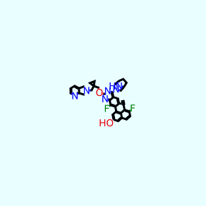 C#Cc1c(F)ccc2cc(O)cc(-c3c(C)cc4c(N5CC6CCC(C5)N6)nc(OCC5(CN6Cc7cccnc7C6)CC5)nc4c3F)c12